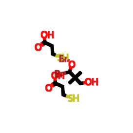 CC(C)(CO)C(Br)OBr.O=C(O)CCS.O=C(O)CCS